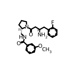 COc1cccc(C(=O)NC[C@@H]2CCCN2C(=O)C[C@H](N)Cc2ccccc2F)c1